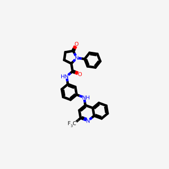 O=C(Nc1cccc(Nc2cc(C(F)(F)F)nc3ccccc23)c1)C1CCC(=O)N1c1ccccc1